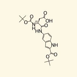 CC(C)(C)OC(=O)N[C@@H](CC(=O)O)C(=O)Nc1ccc2[nH]c(C(=O)OC(C)(C)C)cc2c1